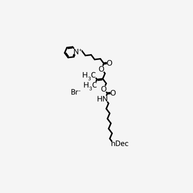 CCCCCCCCCCCCCCCCCCNC(=O)OCC(COC(=O)CCCCC[n+]1ccccc1)=C(C)C.[Br-]